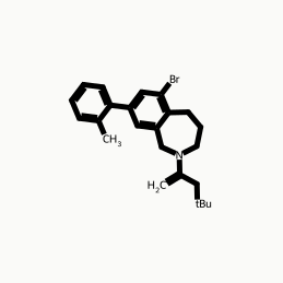 C=C(CC(C)(C)C)N1CCCc2c(Br)cc(-c3ccccc3C)cc2C1